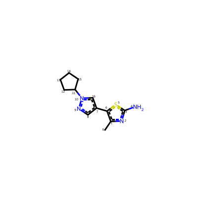 Cc1nc(N)sc1-c1cnn(C2CCCC2)c1